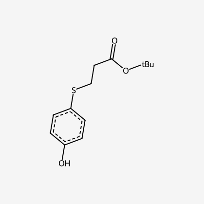 CC(C)(C)OC(=O)CCSc1ccc(O)cc1